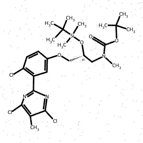 Cc1c(Cl)nc(-c2cc(OC[C@@H](CN(C)C(=O)OC(C)(C)C)O[Si](C)(C)C(C)(C)C)ccc2Cl)nc1Cl